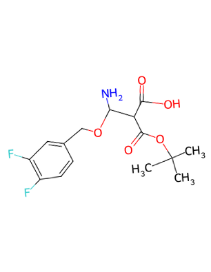 CC(C)(C)OC(=O)C(C(=O)O)C(N)OCc1ccc(F)c(F)c1